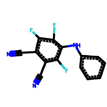 N#Cc1c(F)c(F)c(Nc2ccccc2)c(F)c1C#N